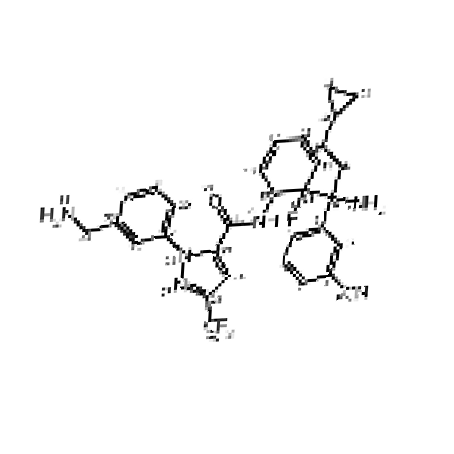 N#Cc1cccc(C(N)(CCC2CC2)C2(F)C=CC=CC2NC(=O)c2cc(C(F)(F)F)nn2-c2cccc(CN)c2)c1